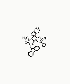 CN(C(=O)OCC1c2ccccc2-c2ccccc21)C(C(=O)N(CCC1CCC1)C(CC(=O)O)C(=O)N1CCOCC1)C1CCCC1